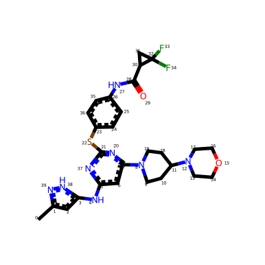 Cc1cc(Nc2cc(N3CCC(N4CCOCC4)CC3)nc(Sc3ccc(NC(=O)C4CC4(F)F)cc3)n2)[nH]n1